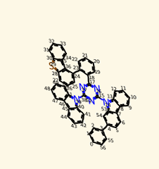 c1ccc(-c2ccc3c4ccccc4n(-c4nc(-c5ccccc5-c5cccc6sc7ccccc7c56)nc(-n5c6ccccc6c6ccccc65)n4)c3c2)cc1